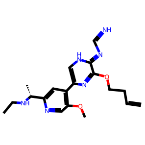 C=CCCOc1nc(-c2cc([C@@H](C)NCC)ncc2OC)c[nH]/c1=N\C=N